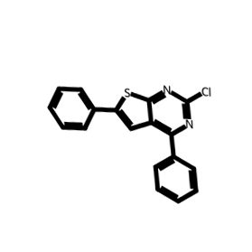 Clc1nc(-c2ccccc2)c2cc(-c3ccccc3)sc2n1